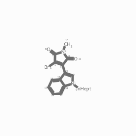 CCCCCCCn1cc(C2=C(Br)C(=O)N(C)C2=O)c2ccccc21